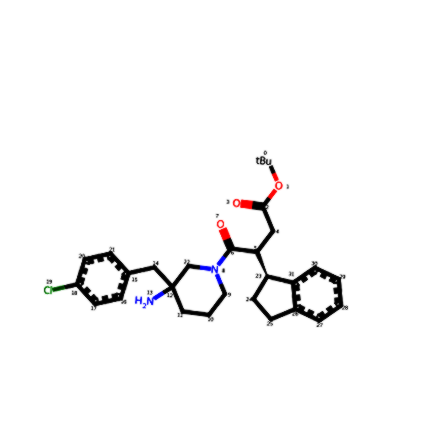 CC(C)(C)OC(=O)CC(C(=O)N1CCCC(N)(Cc2ccc(Cl)cc2)C1)[C@@H]1CCc2ccccc21